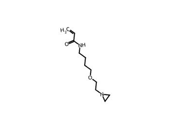 C=CC(=O)NCCCCOCCN1CC1